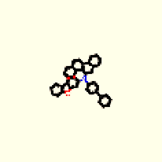 c1ccc(-c2ccc(N(c3ccc4c(c3)oc3ccccc34)c3cc4ccccc4c4ccc5ccccc5c34)cc2)cc1